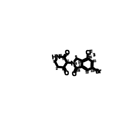 O=C1CCNC(=O)C1N1Cc2c(cc(Br)cc2C(F)(F)F)C1=O